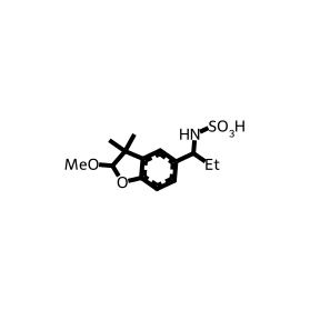 CCC(NS(=O)(=O)O)c1ccc2c(c1)C(C)(C)C(OC)O2